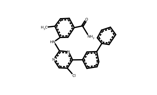 Cc1ccc(C(N)=O)cc1Nc1ncc(Cl)c(-c2cccc(-c3ccccc3)c2)n1